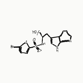 O=C(O)[C@@H](Cc1c[nH]c2ncccc12)NS(=O)(=O)c1ccc(Br)s1